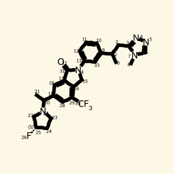 CC(Cc1nncn1C)c1cccc(N2Cc3c(cc(C(C)N4CC[C@H](F)C4)cc3C(F)(F)F)C2=O)c1